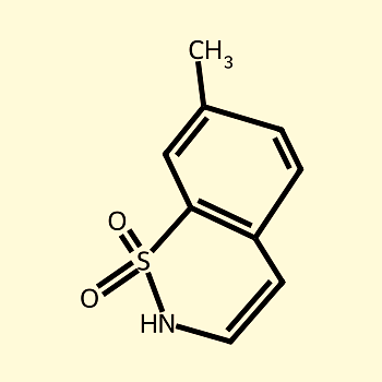 Cc1ccc2c(c1)S(=O)(=O)NC=C2